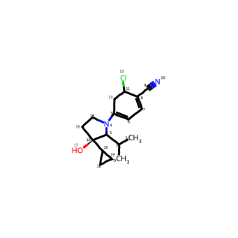 CC(C)C1N(C2=CC=C(C#N)C(Cl)C2)CC[C@@]1(O)C1CC1